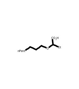 CCCCCCCCOC(CC)C(=O)O